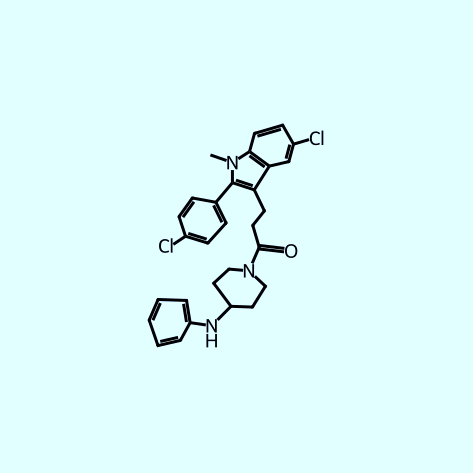 Cn1c(-c2ccc(Cl)cc2)c(CCC(=O)N2CCC(Nc3ccccc3)CC2)c2cc(Cl)ccc21